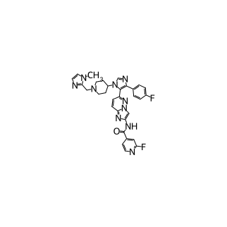 Cn1ccnc1CN1CCC(n2cnc(-c3ccc(F)cc3)c2-c2ccc3nc(NC(=O)c4ccnc(F)c4)cn3n2)CC1